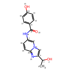 CC(O)c1cn2cc(NC(=O)c3ccc(O)cc3)ccc2n1